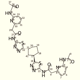 CC(=O)Nc1cccc(CC(=O)Nc2nnc([C@@H]3CCC[C@@H](c4nnc(NC(=O)Cc5cccc(NC(C)=O)n5)s4)C3)s2)n1